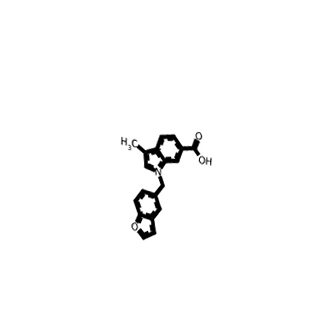 Cc1cn(Cc2ccc3occc3c2)c2cc(C(=O)O)ccc12